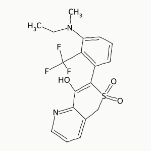 CCN(C)c1cccc(C2=C(O)c3ncccc3CS2(=O)=O)c1C(F)(F)F